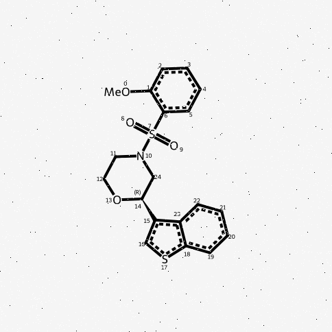 COc1ccccc1S(=O)(=O)N1CCO[C@H](c2csc3ccccc23)C1